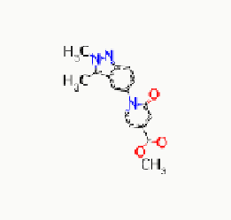 COC(=O)c1ccn(-c2ccc3nn(C)c(C)c3c2)c(=O)c1